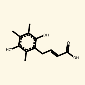 Cc1c(C)c(O)c(CC=CC(=O)O)c(C)c1O